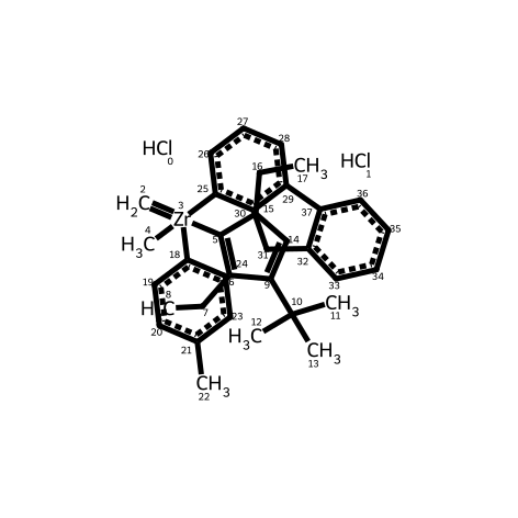 Cl.Cl.[CH2]=[Zr]([CH3])([C]1=C(CC)C(C(C)(C)C)=CC1CC)([c]1ccc(C)cc1)[c]1cccc2c1Cc1ccccc1-2